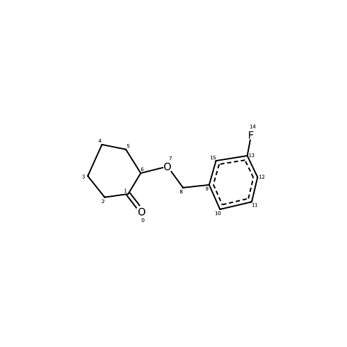 O=C1CCCCC1OCc1cccc(F)c1